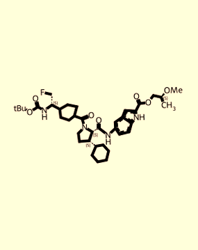 CO[C@@H](C)COC(=O)c1cc2cc(NC(=O)[C@@H]3[C@H](C4CCCCC4)CCN3C(=O)C3CCC([C@@H](CF)NC(=O)OC(C)(C)C)CC3)ccc2[nH]1